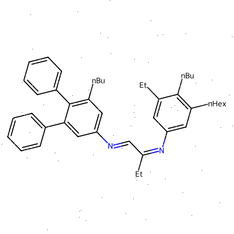 CCCCCCc1cc(N=C(C=Nc2cc(CCCC)c(-c3ccccc3)c(-c3ccccc3)c2)CC)cc(CC)c1CCCC